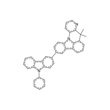 CC1(C)c2ncccc2-n2c3ccc(-c4ccc5c(c4)c4ccccc4n5-c4ccccc4)cc3c3cccc1c32